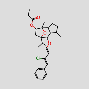 CCC(=O)OC1CC2(C(C)C)OC1(C)C1CCC(C)C1C2OC=CC(Cl)=Cc1ccccc1